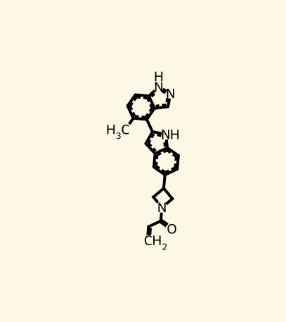 C=CC(=O)N1CC(c2ccc3[nH]c(-c4c(C)ccc5[nH]ncc45)cc3c2)C1